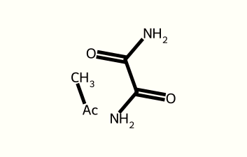 CC(C)=O.NC(=O)C(N)=O